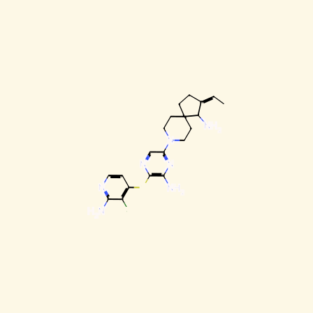 CC=C1CCC2(CCN(c3cnc(Sc4ccnc(N)c4Cl)c(N)n3)CC2)C1N